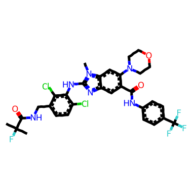 Cn1c(Nc2c(Cl)ccc(CNC(=O)C(C)(C)F)c2Cl)nc2cc(C(=O)Nc3ccc(C(F)(F)F)cc3)c(N3CCOCC3)cc21